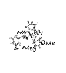 COc1cc(CNc2ccccc2-c2nnc(-c3cccc(Br)c3)[nH]2)cc(OC)c1